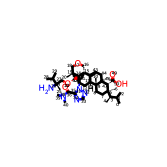 CC(C)[C@@H](C)[C@@]1(C)CC[C@]2(C)[C@H]3CC[C@@H]4[C@@]5(COC[C@@]4(C)[C@@H](OC[C@](C)(N)C(C)C)[C@H](n4ncnc4C(=O)N(C)C)C5)C3=CC[C@@]2(C)[C@@H]1C(=O)O